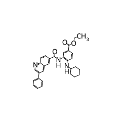 CCOC(=O)c1ccc(NC2CCCCC2)c(NC(=O)c2ccc3ncc(-c4ccccc4)cc3c2)c1